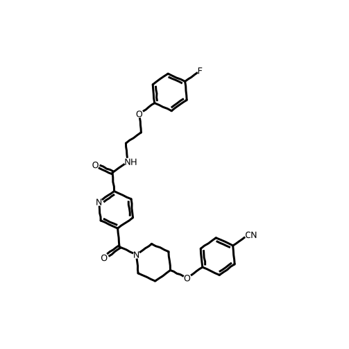 N#Cc1ccc(OC2CCN(C(=O)c3ccc(C(=O)NCCOc4ccc(F)cc4)nc3)CC2)cc1